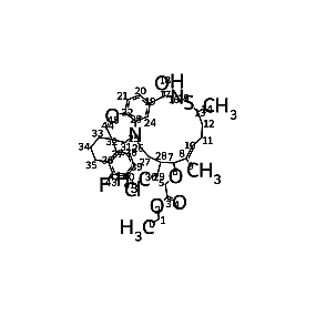 CCOC(=O)COC1/C(C)=C/CCC(C)SNC(=O)c2ccc3c(c2)N(CCC1CC)CC1(CCCc2c1ccc(Cl)c2F)CO3